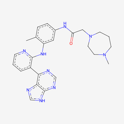 Cc1ccc(NC(=O)CN2CCCN(C)CC2)cc1Nc1ncccc1-c1ncnc2[nH]cnc12